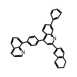 C1=Cc2cc(-c3cc(-c4ccc(-c5cccc6cccnc56)cc4)c4ccc(-c5ccccc5)cc4n3)ccc2CC1